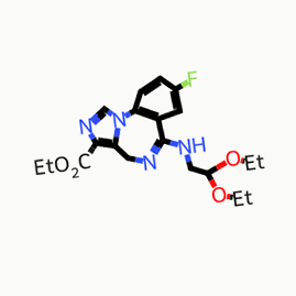 CCOC(=O)c1ncn2c1CN=C(NCC(OCC)OCC)c1cc(F)ccc1-2